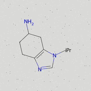 CC(C)n1cnc2c1CC(N)CC2